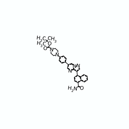 CC(C)(C)OC(=O)N1CCN(c2ccc(-c3cnc4c(-c5ccc(C(N)=O)c6ccccc56)cnn4c3)cc2)CC1